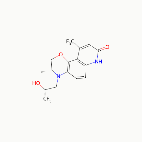 C[C@@H]1COc2c(ccc3[nH]c(=O)cc(C(F)(F)F)c23)N1C[C@@H](O)C(F)(F)F